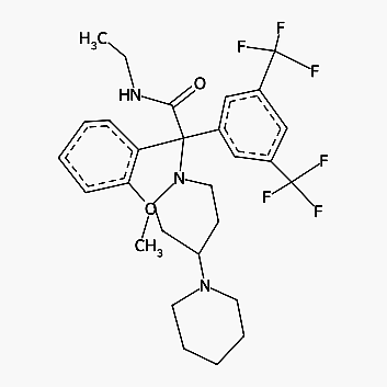 CCNC(=O)C(c1cc(C(F)(F)F)cc(C(F)(F)F)c1)(c1ccccc1OC)N1CCC(N2CCCCC2)CC1